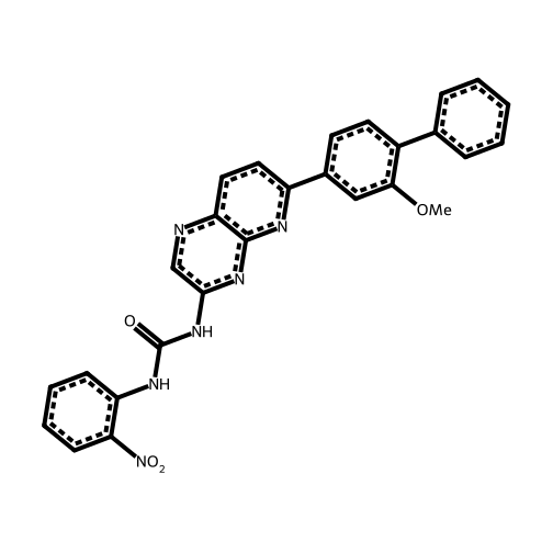 COc1cc(-c2ccc3ncc(NC(=O)Nc4ccccc4[N+](=O)[O-])nc3n2)ccc1-c1ccccc1